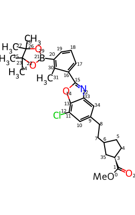 COC(=O)[C@@H]1CCC(CCc2cc(Cl)c3oc(-c4cccc(B5OC(C)(C)C(C)(C)O5)c4C)nc3c2)C1